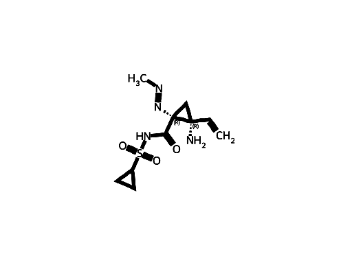 C=C[C@]1(N)C[C@]1(N=NC)C(=O)NS(=O)(=O)C1CC1